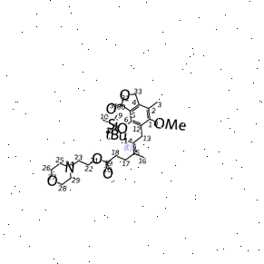 COc1c(C)c2c(c(O[Si](C)(C)C(C)(C)C)c1C/C=C(\C)CCC(=O)OCCN1CCOCC1)C(=O)OC2